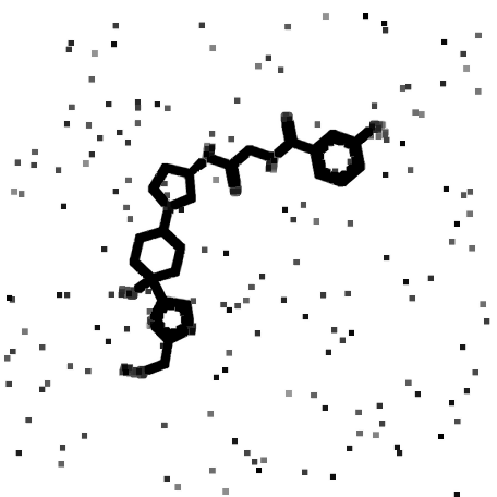 COCc1ncc(C2(O)CCC(N3CC[C@@H](NC(=O)CNC(=O)c4cccc(C(F)(F)F)c4)C3)CC2)s1